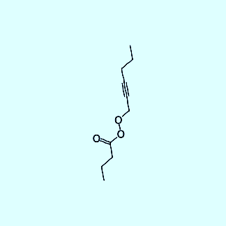 CCCC#CCOOC(=O)CCC